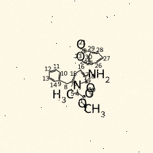 COC(=O)C(C)n1c(Cc2ccccc2)ccc(N)c1=O.O=C1OCc2cccc1c2